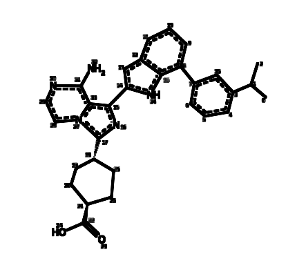 CC(C)c1cccc(-c2cccc3cc(-c4nc([C@H]5CC[C@H](C(=O)O)CC5)n5ccnc(N)c45)[nH]c23)c1